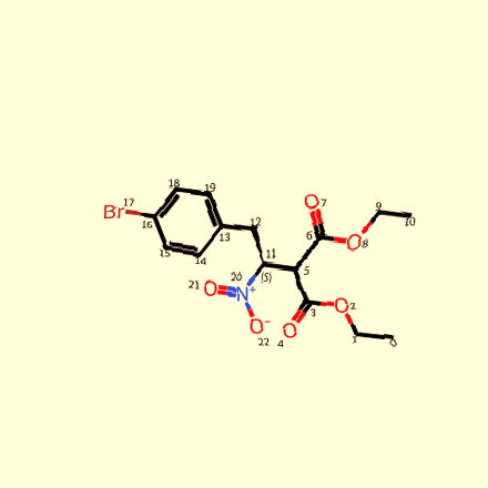 CCOC(=O)C(C(=O)OCC)[C@H](Cc1ccc(Br)cc1)[N+](=O)[O-]